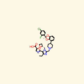 CCc1nc(CN2CCC(c3cccc4c3O[C@@](C)(c3ccc(Cl)cc3F)O4)CC2)n(C[C@H]2CCO2)c1-c1ncc(C(=O)O)o1